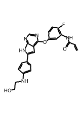 C=CC(=O)Nc1cc(Oc2ncnc3[nH]c(-c4ccc(NCCO)cc4)cc23)ccc1F